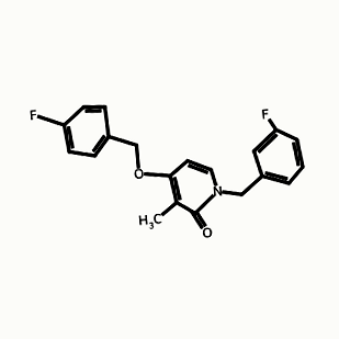 Cc1c(OCc2ccc(F)cc2)ccn(Cc2cccc(F)c2)c1=O